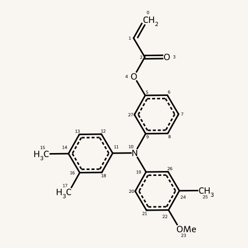 C=CC(=O)Oc1cccc(N(c2ccc(C)c(C)c2)c2ccc(OC)c(C)c2)c1